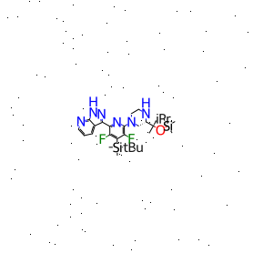 CC(C)[C@](C)(O[Si](C)(C)C)[C@@H]1CN(c2nc(-c3n[nH]c4ncccc34)c(F)c([Si](C)(C)C(C)(C)C)c2F)CCN1